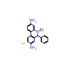 CCN1c2cc(N)ccc2-c2ccc(N)cc2C1c1ccccc1.F